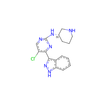 Clc1cnc(N[C@H]2CCCNC2)nc1-c1n[nH]c2ccccc12